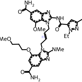 CCn1nc(C)cc1C(=O)Nc1nc2cc(C(N)=O)cc(OC)c2n1C/C=C/Cn1c(NC)nc2cc(C(N)=O)cc(OCCCOC)c21